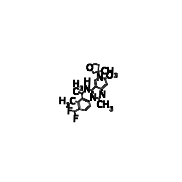 Cc1nc(N[C@H](C)c2cccc(C(F)F)c2C)c2cn(C3(C)CCOC3)c(=O)cc2n1